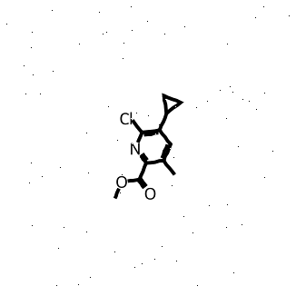 COC(=O)c1nc(Cl)c(C2CC2)cc1C